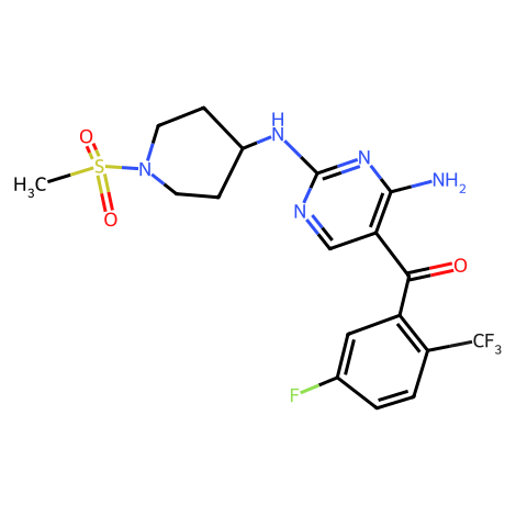 CS(=O)(=O)N1CCC(Nc2ncc(C(=O)c3cc(F)ccc3C(F)(F)F)c(N)n2)CC1